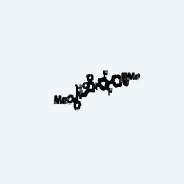 COC(=O)NCC1CN(c2cc(F)c(C3CCP(=O)(OC)CC3)c(F)c2)C(=O)O1